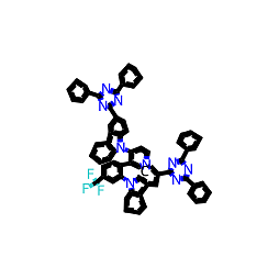 FC(F)(F)c1ccc(-c2cnccc2-n2c3ccccc3c3cc(-c4nc(-c5ccccc5)nc(-c5ccccc5)n4)ccc32)c(-n2c3ccccc3c3cc(-c4nc(-c5ccccc5)nc(-c5ccccc5)n4)ccc32)c1